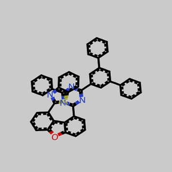 c1ccc(-c2cc(-c3ccccc3)cc(-c3nc(-c4ccccc4)nc(-c4cccc5oc6cccc(-c7nc8ccccc8s7)c6c45)n3)c2)cc1